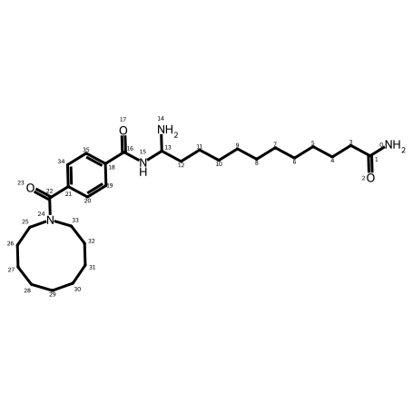 NC(=O)CCCCCCCCCCC(N)NC(=O)c1ccc(C(=O)N2CCCCCCCCC2)cc1